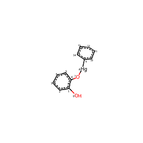 Oc1ccccc1[O][Hg][c]1ccccc1